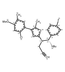 C#CCN(c1nc(-c2cc(C)c(OC)cc2Cl)c(C)s1)[C@@H](CCCC)c1ccc(F)cc1